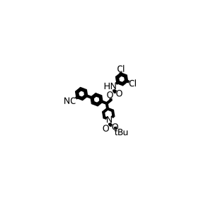 CC(C)(C)OC(=O)N1CCC(C(COC(=O)Nc2cc(Cl)cc(Cl)c2)c2ccc(-c3cccc(C#N)c3)cc2)CC1